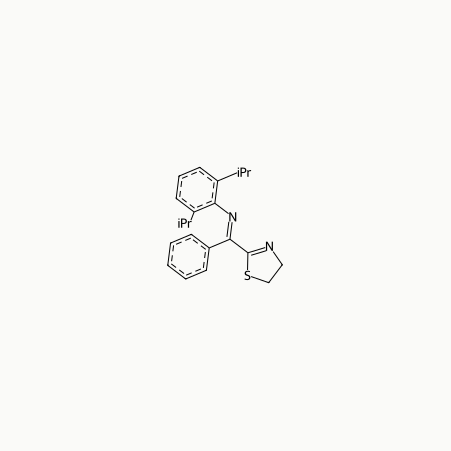 CC(C)c1cccc(C(C)C)c1/N=C(/C1=NCCS1)c1ccccc1